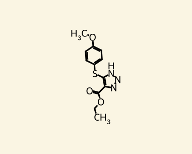 CCOC(=O)c1nn[nH]c1Sc1ccc(OC)cc1